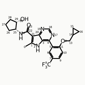 Cc1[nH]c2c(-c3cc(C(F)(F)F)ccc3OCC3CC3)ncnc2c1C(=O)N[C@@H]1CCC[C@@H]1O